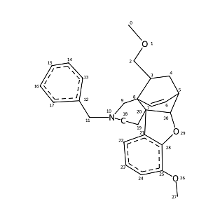 COCC1CC2C=CC13CN(Cc1ccccc1)CCC31c3cccc(OC)c3OC21